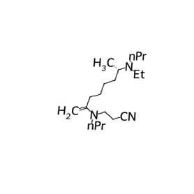 C=C(CCCC[C@H](C)N(CC)CCC)N(CCC)CCC#N